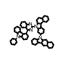 c1ccc(-n2c3ccccc3c3c(-c4nc(-n5c6cc(-n7c8ccccc8c8cc9ccccc9cc87)ccc6c6c7ccccc7ccc65)nc5ccccc45)cccc32)cc1